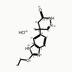 CCOc1nc2ccc(C3(C)C=NNC(=O)C3)cc2[nH]1.Cl